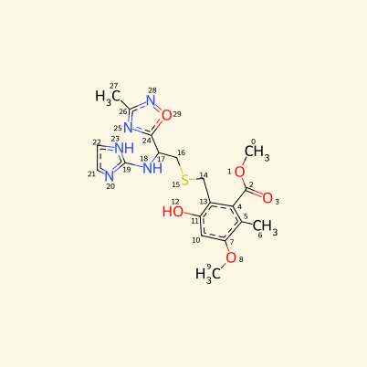 COC(=O)c1c(C)c(OC)cc(O)c1CSCC(Nc1ncc[nH]1)c1nc(C)no1